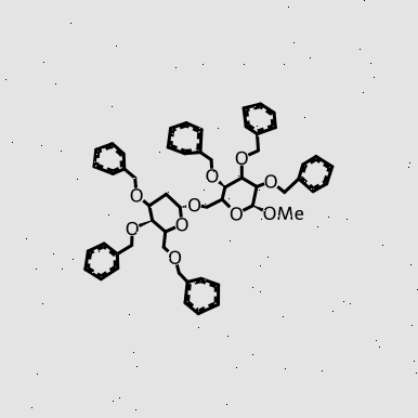 CO[C@H]1OC(CO[C@H]2CC(OCc3ccccc3)[C@H](OCc3ccccc3)C(COCc3ccccc3)O2)[C@@H](OCc2ccccc2)C(OCc2ccccc2)C1OCc1ccccc1